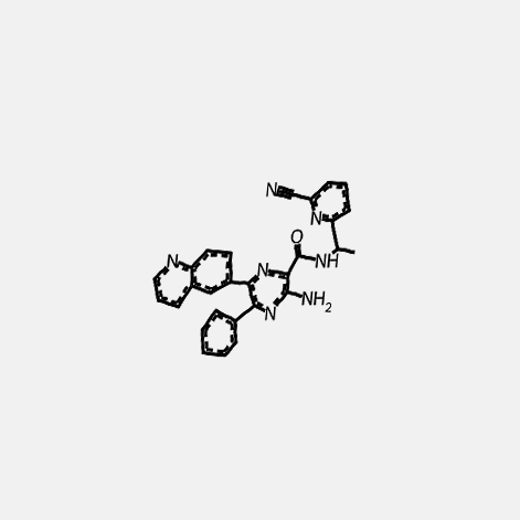 CC(NC(=O)c1nc(-c2ccc3ncccc3c2)c(-c2ccccc2)nc1N)c1cccc(C#N)n1